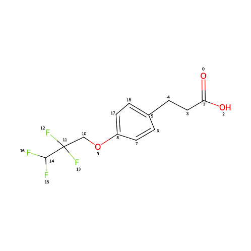 O=C(O)CCc1ccc(OCC(F)(F)C(F)F)cc1